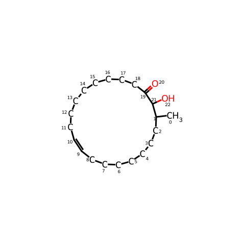 CC1CCCCCCCC=CCCCCCCCCC(=O)C1O